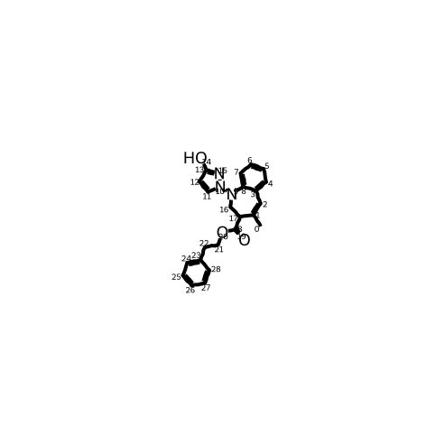 CC1=Cc2ccccc2N(n2ccc(O)n2)CC1C(=O)OCCc1ccccc1